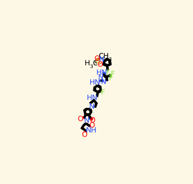 CN(c1cccc(CNc2nc(Nc3ccc(CN[C@@H]4CCN(c5ccc6c(c5)C(=O)N(C5CCC(=O)NC5=O)C6=O)C4)c(F)c3)ncc2C(F)(F)F)c1)S(C)(=O)=O